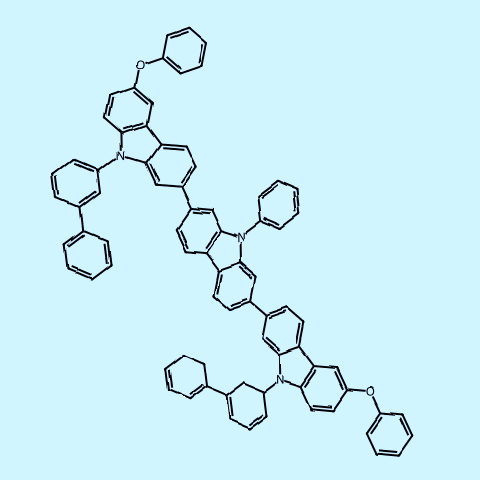 C1=CCCC(C2=CC=CC(n3c4ccc(Oc5ccccc5)cc4c4ccc(-c5ccc6c7ccc(-c8ccc9c%10cc(Oc%11ccccc%11)ccc%10n(-c%10cccc(-c%11ccccc%11)c%10)c9c8)cc7n(-c7ccccc7)c6c5)cc43)C2)=C1